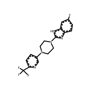 Fc1ccc2nc(N3CCN(c4ccc(C(F)(F)F)nc4)CC3)[nH]c2c1